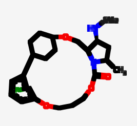 CSN[C@H]1CC(C)N2C(=O)OCCCOc3cccc(c3F)C3CCC(CC3)OCC12